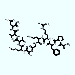 CCSSCC(NC(=O)C(NC(=O)CNC(=O)C(CCSC)NC(=O)C(CCCNC(=N)N)NC(=O)C(Cc1ccccc1)NC(=O)C1CCCN1C(=O)C(C)N)C(C)CC)C(=O)NC(C(=O)NC(C(=O)NC(CC(N)=O)C(N)=O)C(C)O)C(C)O